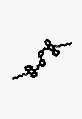 CCCCCCOc1c2c(c(/C=C/c3ccnc(-c4cc(/C=C/c5c6ccccc6c(OCCCCCC)c6ccccc56)ccn4)c3)c3ccccc13)CCC=C2